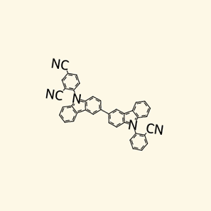 N#Cc1ccc(-n2c3ccccc3c3cc(-c4ccc5c(c4)c4ccccc4n5-c4ccccc4C#N)ccc32)c(C#N)c1